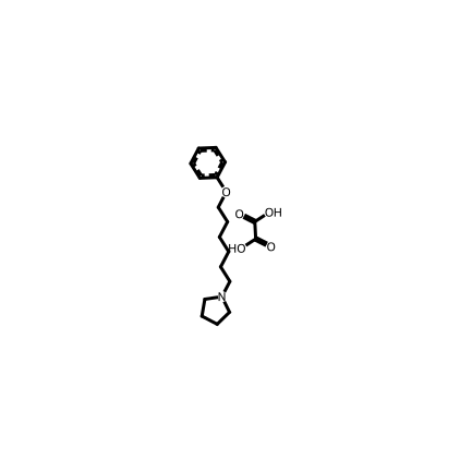 O=C(O)C(=O)O.c1ccc(OCCCCCCN2CCCC2)cc1